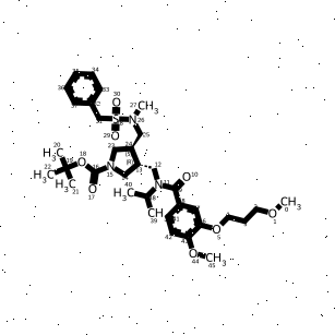 COCCCOc1cc(C(=O)N(C[C@@H]2CN(C(=O)OC(C)(C)C)C[C@H]2CN(C)S(=O)(=O)Cc2ccccc2)C(C)C)ccc1OC